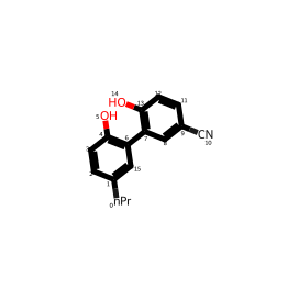 CCCc1ccc(O)c(-c2cc(C#N)ccc2O)c1